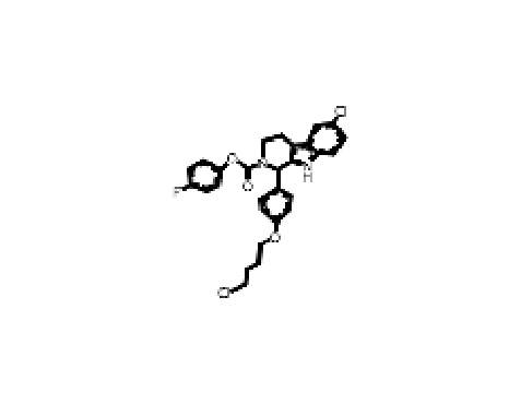 O=C(Oc1ccc(F)cc1)N1CCc2c([nH]c3ccc(Cl)cc23)C1c1ccc(OCCCCCl)cc1